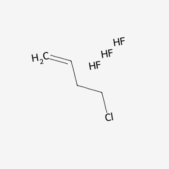 C=CCCCl.F.F.F